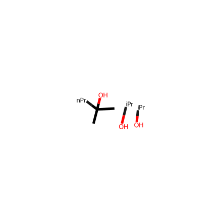 CC(C)O.CC(C)O.CCCC(C)(C)O